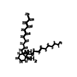 CCCCCCCCCCCC1(N)CCCCC1(N)CCCCCCCCCCC